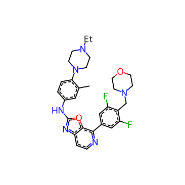 CCN1CCN(c2ccc(Nc3nc4ccnc(-c5cc(F)c(CN6CCOCC6)c(F)c5)c4o3)cc2C)CC1